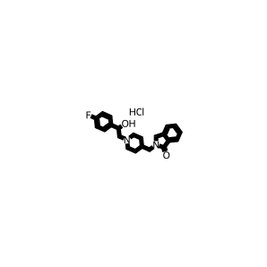 Cl.O=C1c2ccccc2CN1CC1CCN(CC(O)c2ccc(F)cc2)CC1